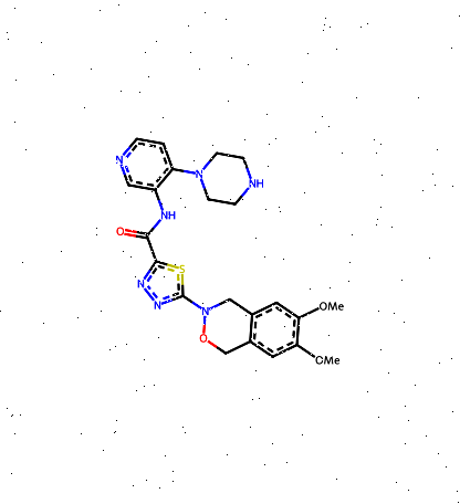 COc1cc2c(cc1OC)CN(c1nnc(C(=O)Nc3cnccc3N3CCNCC3)s1)OC2